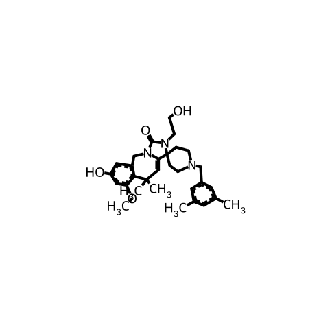 COc1cc(O)cc2c1C(C)(C)C=C1N(C2)C(=O)N(CCO)C12CCN(Cc1cc(C)cc(C)c1)CC2